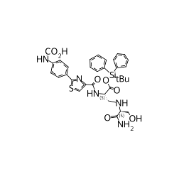 CC(C)(C)[Si](OC(=O)[C@H](CN[C@@H](CO)C(N)=O)NC(=O)c1csc(-c2ccc(NC(=O)O)cc2)n1)(c1ccccc1)c1ccccc1